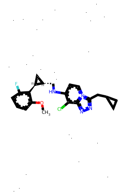 COc1cccc(F)c1[C@H]1C[C@@H]1CNc1ccn2c(CC3CC3)nnc2c1Cl